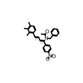 CC(=O)N(Cc1ccccc1)/C(=C\C=C\c1ccc(C)c(C)c1C)c1ccc([N+](=O)[O-])cc1